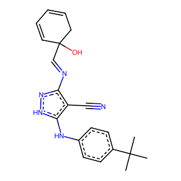 CC(C)(C)c1ccc(Nc2[nH]nc(/N=C/C3(O)C=CC=CC3)c2C#N)cc1